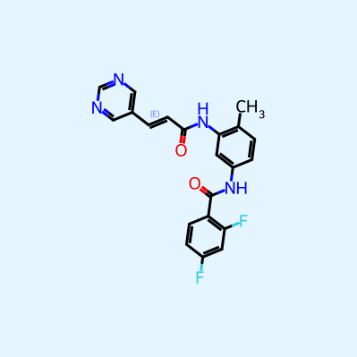 Cc1ccc(NC(=O)c2ccc(F)cc2F)cc1NC(=O)/C=C/c1cncnc1